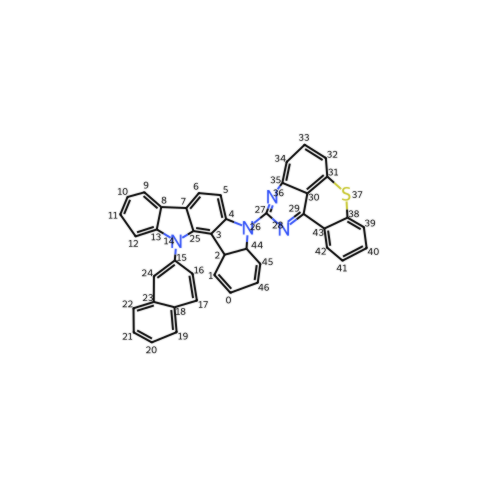 C1=CC2c3c(ccc4c5ccccc5n(-c5ccc6ccccc6c5)c34)N(c3nc4c5c(cccc5n3)Sc3ccccc3-4)C2C=C1